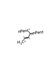 C/C=C/C(CCCCC)CCCCC